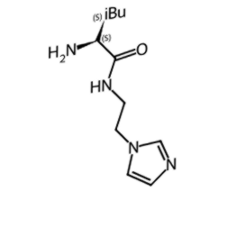 CC[C@H](C)[C@H](N)C(=O)NCCn1ccnc1